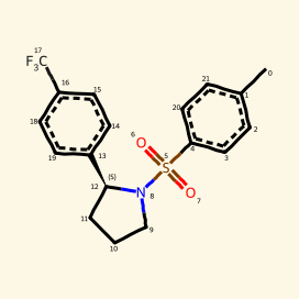 Cc1ccc(S(=O)(=O)N2CCC[C@H]2c2ccc(C(F)(F)F)cc2)cc1